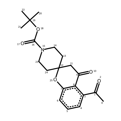 CC(=O)c1cccc2c1C(=O)CC1(CCN(C(=O)OC(C)(C)C)CC1)O2